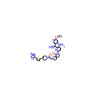 CC(C)Oc1ccc(C(=N)c2nc(N3CC[C@]4(CCN(CC(=O)N5CC=C(c6ccc(-c7ncn(C)n7)s6)CC5)C4)C3=O)ccc2N)cn1